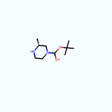 C[C@H]1CN(C(O)OC(C)(C)C)CCN1